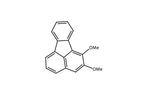 COc1cc2cccc3c2c(c1OC)-c1ccccc1-3